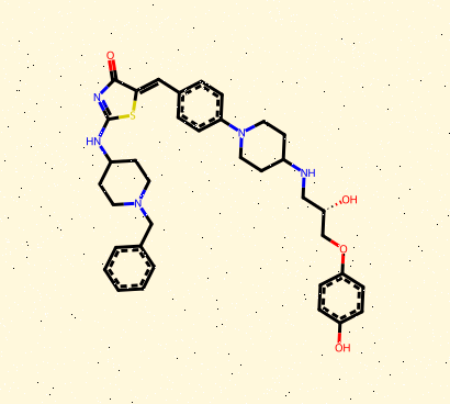 O=C1N=C(NC2CCN(Cc3ccccc3)CC2)SC1=Cc1ccc(N2CCC(NC[C@H](O)COc3ccc(O)cc3)CC2)cc1